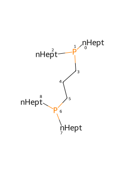 CCCCCCCP(CCCCCCC)CCCP(CCCCCCC)CCCCCCC